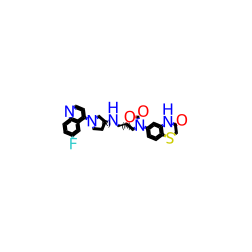 O=C1CSc2ccc(N3C[C@@H](CN[C@@H]4CCN(c5ccnc6ccc(F)cc56)C4)OC3=O)cc2N1